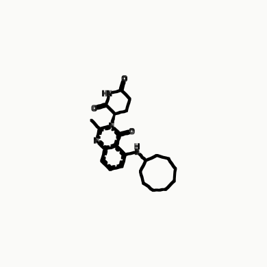 Cc1nc2cccc(BC3CCCCCCCC3)c2c(=O)n1[C@@H]1CCC(=O)NC1=O